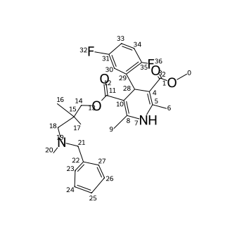 COC(=O)C1=C(C)NC(C)=C(C(=O)OCC(C)(C)CN(C)Cc2ccccc2)C1c1cc(F)ccc1F